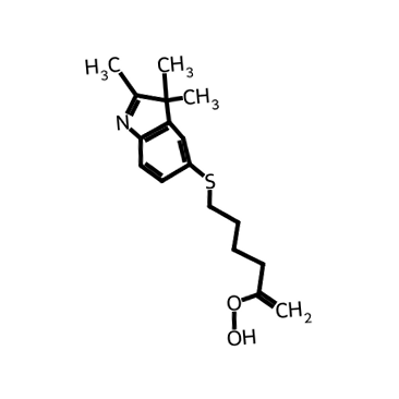 C=C(CCCCSc1ccc2c(c1)C(C)(C)C(C)=N2)OO